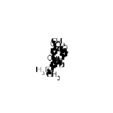 COC(=O)c1ccc(C(=O)Nc2ccc(CN(C)C)cc2C(=O)NCc2ccc3c(c2)OCO3)cc1